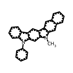 Cn1c2cc3ccccc3cc2c2cc3c4ccccc4n(-c4ccccc4)c3cc21